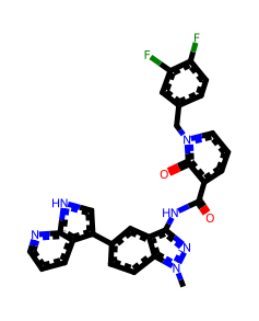 Cn1nc(NC(=O)c2cccn(Cc3ccc(F)c(F)c3)c2=O)c2cc(-c3c[nH]c4ncccc34)ccc21